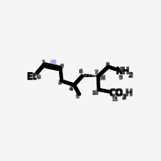 CC/C=C\CC(C)C[C@H](CN)CC(=O)O